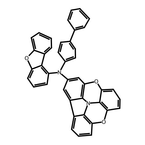 c1ccc(-c2ccc(N(c3cc4c5c(c3)c3cccc6c3n5-c3c(cccc3O4)O6)c3cccc4oc5ccccc5c34)cc2)cc1